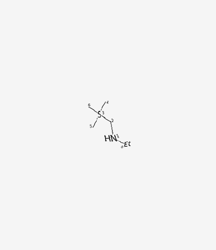 CCNCS(C)(C)C